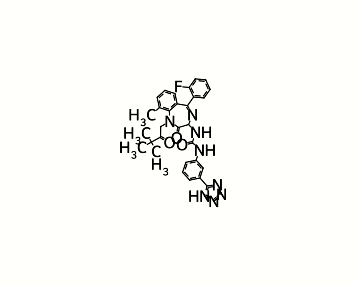 Cc1cccc2c1N(CC(=O)C(C)(C)C)C(=O)C(NC(=O)Nc1cccc(-c3nnn[nH]3)c1)N=C2c1ccccc1F